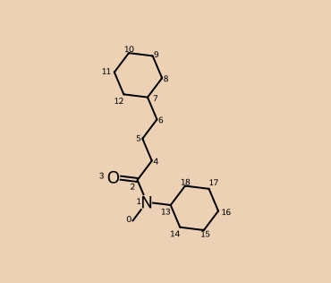 CN(C(=O)CCCC1CCCCC1)C1CCCCC1